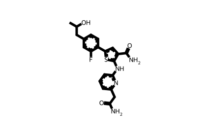 CC(O)Cc1ccc(-c2cc(C(N)=O)c(Nc3cccc(CC(N)=O)n3)s2)c(F)c1